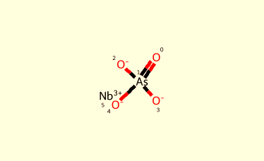 O=[As]([O-])([O-])[O-].[Nb+3]